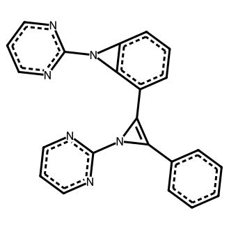 c1ccc(C2=C(c3cccc4c3N4c3ncccn3)N2c2ncccn2)cc1